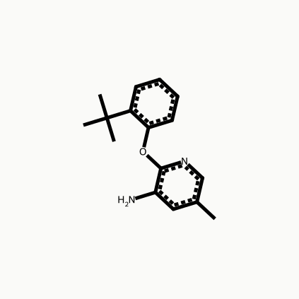 Cc1cnc(Oc2ccccc2C(C)(C)C)c(N)c1